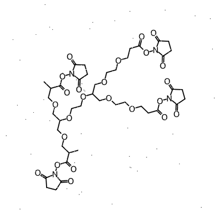 CC(COCC(COCC(C)C(=O)ON1C(=O)CCC1=O)OCCOC(COCCOCCC(=O)ON1C(=O)CCC1=O)COCCOCCC(=O)ON1C(=O)CCC1=O)C(=O)ON1C(=O)CCC1=O